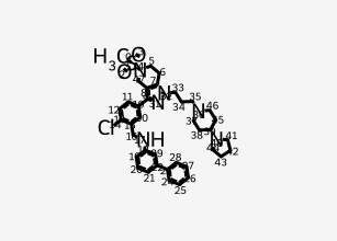 CS(=O)(=O)N1CCc2c(c(-c3ccc(Cl)c(CNc4cccc(-c5ccccc5)c4)c3)nn2CCCN2CCC(N3CCCC3)CC2)C1